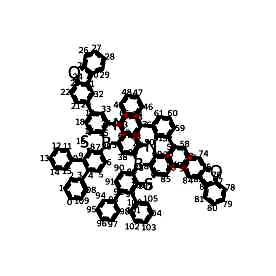 c1ccc(-c2ccc3c(c2-c2ccccc2)Sc2cc(-c4ccc5oc6ccccc6c5c4)cc4c2B3c2cc3c(cc2N4c2ccccc2)N(c2c(-c4ccccc4)cccc2-c2ccccc2)c2cc(-c4ccc5oc6ccccc6c5c4)cc4c2B3c2ccc(-c3ccccc3)c(-c3ccccc3)c2S4)cc1